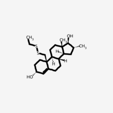 CCSSC[C@]12CC[C@@H](O)C=C1CC[C@@H]1[C@@H]2CC[C@]2(C)[C@@H](O)[C@H](C)C[C@@H]12